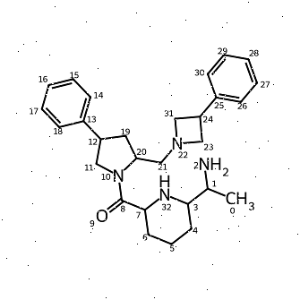 CC(N)C1CCCC(C(=O)N2CC(c3ccccc3)CC2CN2CC(c3ccccc3)C2)N1